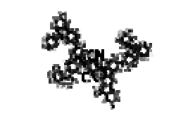 CC1(C)c2ccccc2-c2cc3c4cc(-c5ccc6c7ccccc7n(-c7ccccc7)c6c5)ccc4n(-c4cc(C#N)c(-n5c6ccc(-c7ccc8c9ccccc9n(-c9ccccc9)c8c7)cc6c6cc7c(cc65)C(C)(C)c5ccccc5-7)cc4C#N)c3cc21